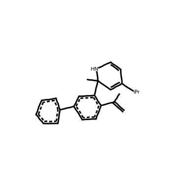 C=C(C)c1ccc(-c2ccccc2)cc1C1(C)C=C(C(C)C)C=CN1